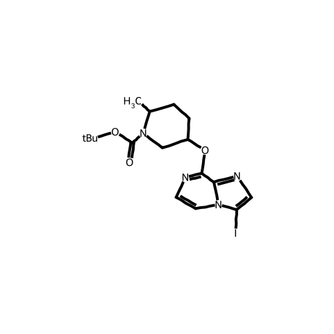 CC1CCC(Oc2nccn3c(I)cnc23)CN1C(=O)OC(C)(C)C